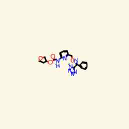 Cn1nnnc1/C(=N\OCc1cccc(NC(=O)OC2CCOC2)n1)c1ccccc1